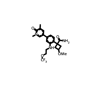 COC1CC(C(N)=O)(c2ccc(-c3cc(C)c(=O)n(C)c3)cc2NCCOC(F)(F)F)C1